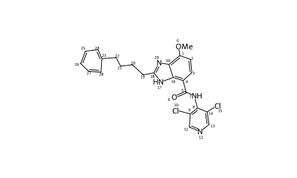 COc1ccc(C(=O)Nc2c(Cl)cncc2Cl)c2[nH]c(CCCCc3ccccc3)nc12